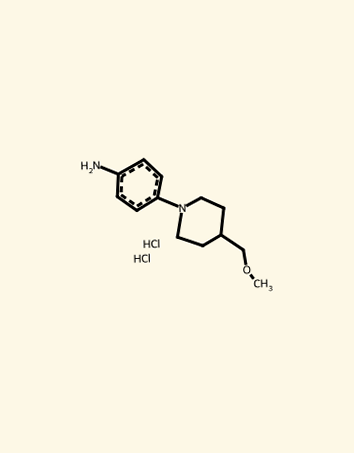 COCC1CCN(c2ccc(N)cc2)CC1.Cl.Cl